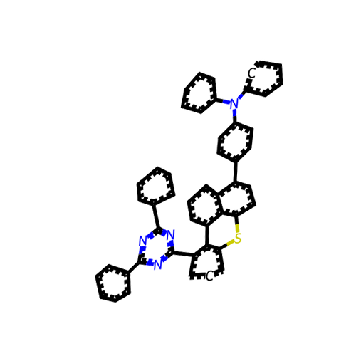 c1ccc(-c2nc(-c3ccccc3)nc(-c3cccc4c3-c3cccc5c(-c6ccc(N(c7ccccc7)c7ccccc7)cc6)ccc(c35)S4)n2)cc1